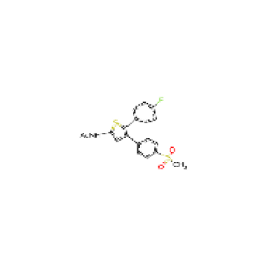 CC(=O)Nc1cc(-c2ccc(S(C)(=O)=O)cc2)c(-c2ccc(F)cc2)s1